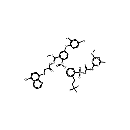 COC(=O)c1cc(Oc2ccc(Cl)cc2Cl)ccc1[N+](=O)[O-].COc1nc(C)nc(NC(=O)NS(=O)(=O)c2ccccc2CCC(F)(F)F)n1.O=C(O)COc1ccc(Cl)c2cccnc12